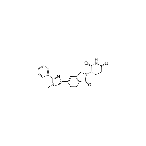 Cn1cc(-c2ccc3c(c2)CN(C2CCC(=O)NC2=O)C3=O)nc1-c1ccccc1